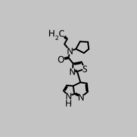 C=CCN(C(=O)c1csc(C2C=CN=C3NC=CC32)n1)C1CCCC1